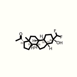 CC(=O)[C@H]1CC[C@H]2[C@@H]3CC[C@H]4C[C@@](O)(C(F)F)CC[C@@H]4[C@H]3CCC12C